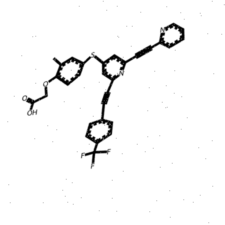 Cc1cc(Sc2cc(C#Cc3ccc(C(F)(F)F)cc3)nc(C#Cc3ccccn3)c2)ccc1OCC(=O)O